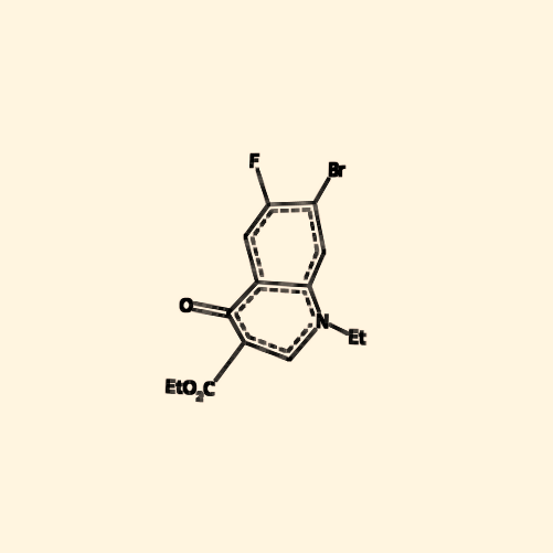 CCOC(=O)c1cn(CC)c2cc(Br)c(F)cc2c1=O